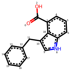 O=C(O)c1cccc2[nH]cc(Cc3ccccc3)c12